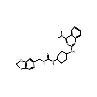 CN(C)c1nc(NC2CCC(NC(=S)NCc3ccc4c(c3)OCO4)CC2)nc2ccccc12